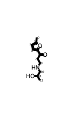 Cc1ccc(C(=O)CCNCC(C)O)o1